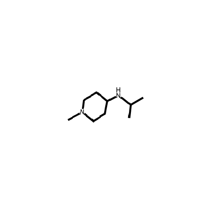 CC(C)NC1CCN(C)CC1